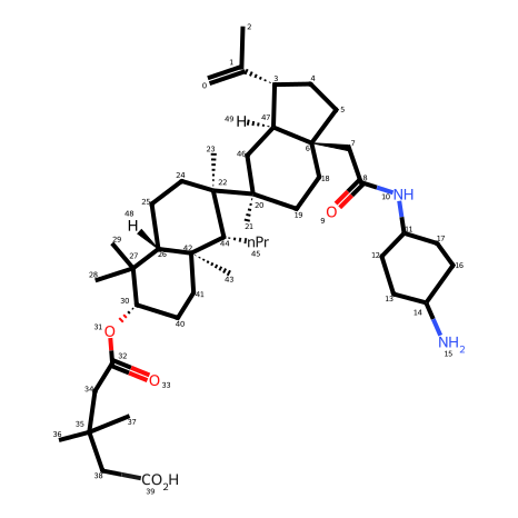 C=C(C)[C@@H]1CC[C@]2(CC(=O)NC3CCC(N)CC3)CC[C@@](C)([C@]3(C)CC[C@H]4C(C)(C)[C@@H](OC(=O)CC(C)(C)CC(=O)O)CC[C@]4(C)[C@H]3CCC)C[C@@H]12